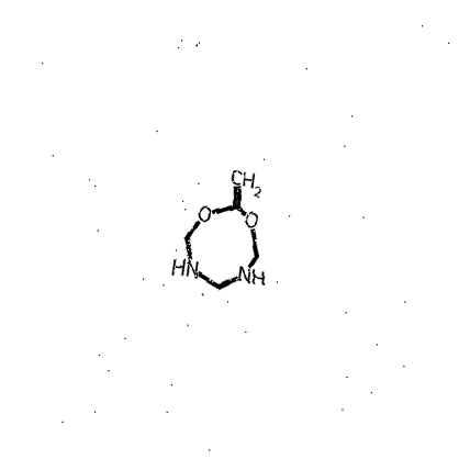 C=C1OCNCNCO1